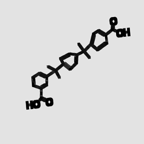 CC(C)(c1ccc(C(=O)O)cc1)c1ccc(C(C)(C)c2cccc(C(=O)O)c2)cc1